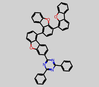 c1ccc(-c2nc(-c3ccccc3)nc(-c3ccc4c(c3)oc3cccc(-c5ccc(-c6cccc7c6oc6ccccc67)c6oc7ccccc7c56)c34)n2)cc1